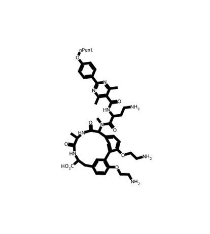 CCCCCOc1ccc(-c2nc(C)c(C(=O)NC(CCN)C(=O)N(C)C3C(=O)NC(C)C(=O)NC(C(=O)O)Cc4ccc(OCCN)c(c4)-c4cc3ccc4OCCN)c(C)n2)cc1